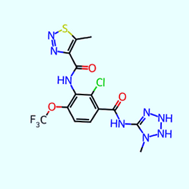 Cc1snnc1C(=O)Nc1c(OC(F)(F)F)ccc(C(=O)NC2=NNNN2C)c1Cl